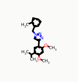 COc1cc(OC)c(C(C)C)cc1-c1cn(Cc2ccccc2C)nn1